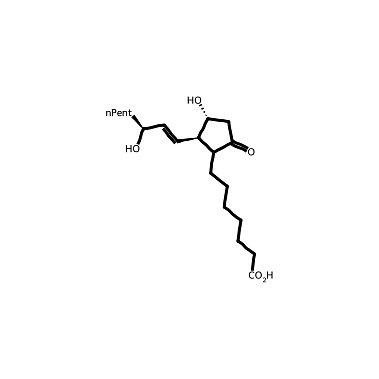 CCCCC[C@H](O)/C=C/[C@@H]1C(CCCCCCC(=O)O)C(=O)C[C@H]1O